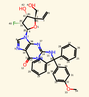 C=C[C@]1(CO)O[C@@H](n2cnc3c(=O)[nH]c(NC(c4ccccc4)(c4ccccc4)c4ccc(OC)cc4)nc32)[C@H](F)[C@@H]1O